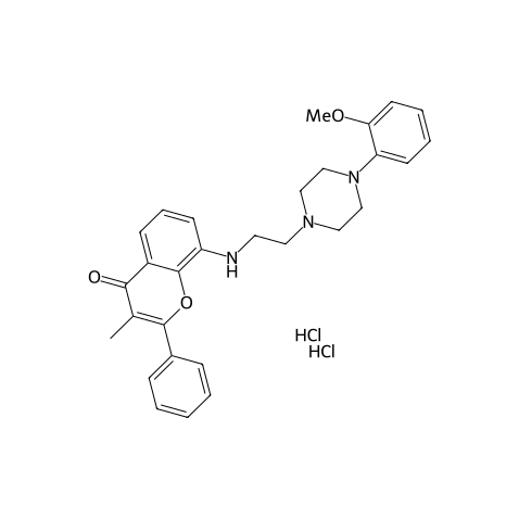 COc1ccccc1N1CCN(CCNc2cccc3c(=O)c(C)c(-c4ccccc4)oc23)CC1.Cl.Cl